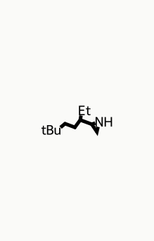 CCC(CCC(C)(C)C)C1CN1